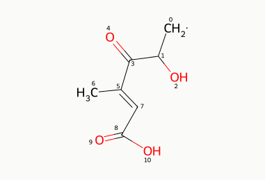 [CH2]C(O)C(=O)C(C)=CC(=O)O